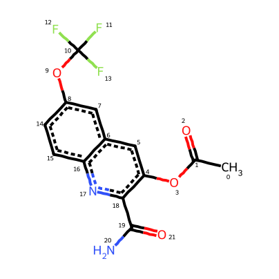 CC(=O)Oc1cc2cc(OC(F)(F)F)ccc2nc1C(N)=O